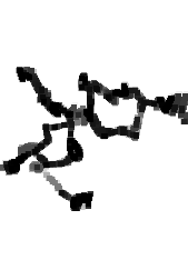 [N-]=[N+]=N[C@]1(n2ccc(N)nc2=O)C[C@H](O)[C@@H](CO)O1